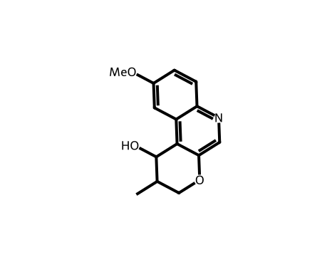 COc1ccc2ncc3c(c2c1)C(O)C(C)CO3